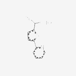 O=CC(Br)c1ccc(-c2ccccn2)s1